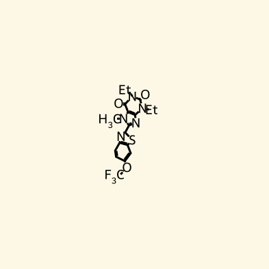 CCn1c(=O)c2c(nc(-c3nc4ccc(OC(F)(F)F)cc4s3)n2C)n(CC)c1=O